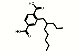 CCCCCC(CCC)Cc1cc(C(=O)O)ccc1C(=O)O